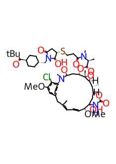 COc1cc2cc(c1Cl)N(C)C(O)C[C@H](OC(=O)[C@H](C)N(C)C(=O)CCS[C@H]1CC(=O)N(C[C@H]3CC[C@H](C(=O)C(C)(C)C)CC3)C1=O)[C@]1(C)O[C@H]1[C@H](C)[C@@H]1C[C@@](O)(NC(=O)O1)[C@H](OC)/C=C/C=C(\C)C2